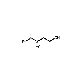 CCNSCCO.Cl